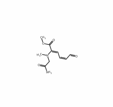 COC(=O)/C(=C/C=C\C=O)N(C)CC(N)=O